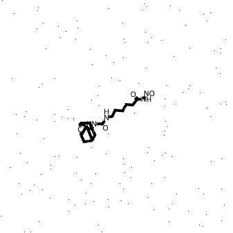 O=NNC(=O)CCCCCNC(=O)NC12CC3CC(CC(C3)C1)C2